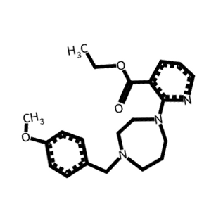 CCOC(=O)c1cccnc1N1CCCN(Cc2ccc(OC)cc2)CC1